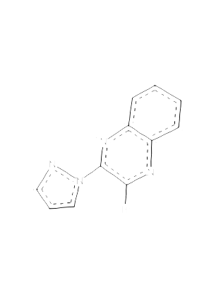 Brc1nc2ccccc2nc1-n1cccn1